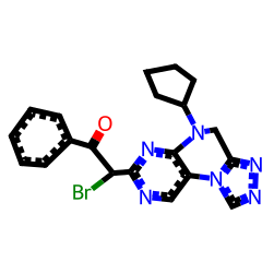 O=C(c1ccccc1)C(Br)c1ncc2c(n1)N(C1CCCC1)Cc1nncn1-2